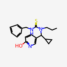 CCCN(C(=S)NCc1ccccc1)C(c1ccc(O)nc1)C1CC1